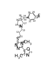 Cc1ncoc1-c1nnc(SCCCN2CCC3(C[C@H]3c3ccc(F)cc3)C2)n1C